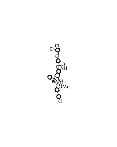 COC(=O)C(Cc1ccc(-c2ccc(Cl)cc2)cc1)NC(=O)C1Cc2cc3c(cc2CN1C(=O)c1ccccc1)OC(c1ccc(OCc2ccc(Cl)c(Cl)c2)cc1)C(=O)N3